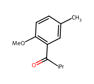 COc1ccc(C)cc1C(=O)C(C)C